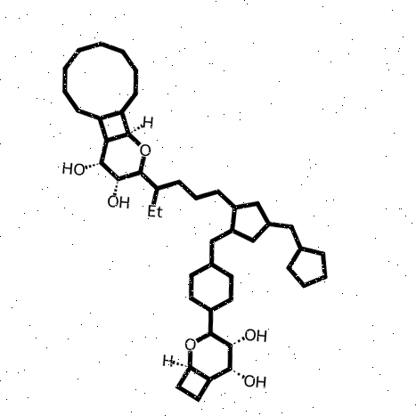 CCC(CCCC1CC(CC2CCCC2)CC1CC1CCC(C2O[C@@H]3CCC3[C@@H](O)[C@H]2O)CC1)C1O[C@@H]2C3CCCCCCCCC3C2[C@@H](O)[C@H]1O